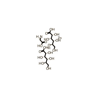 NCC(=O)O.O=C(O)[C@H](O)[C@@H](O)[C@H](O)[C@H](O)CO.O=C(O)[C@H](O)[C@@H](O)[C@H](O)[C@H](O)CO.[Zn]